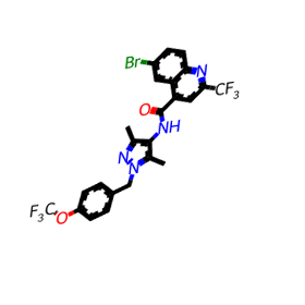 Cc1nn(Cc2ccc(OC(F)(F)F)cc2)c(C)c1NC(=O)c1cc(C(F)(F)F)nc2ccc(Br)cc12